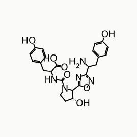 N[C@@H](Cc1ccc(O)cc1)c1noc(C2[C@H](O)CCN2C(=O)N[C@@H](Cc2ccc(O)cc2)C(=O)O)n1